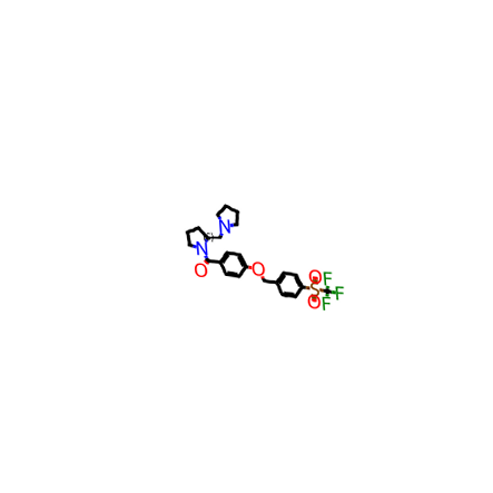 O=C(c1ccc(OCc2ccc(S(=O)(=O)C(F)(F)F)cc2)cc1)N1CCC[C@H]1CN1CCCC1